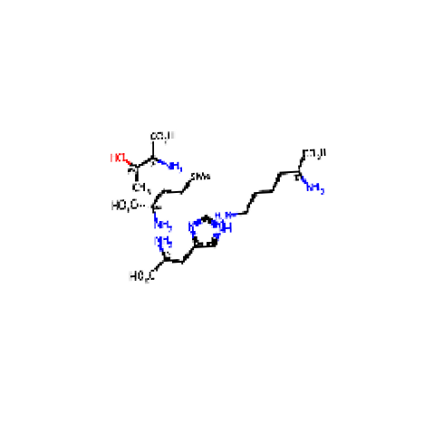 CSCC[C@H](N)C(=O)O.C[C@@H](O)[C@H](N)C(=O)O.NCCCC[C@H](N)C(=O)O.N[C@@H](Cc1c[nH]cn1)C(=O)O